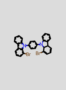 BrC1=CC=CC2c3ccccc3N(c3ccc(-n4c5ccccc5c5cccc(Br)c54)cc3)C12